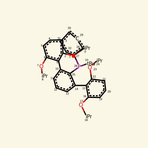 CC(C)Oc1cccc(OC(C)C)c1-c1cccc(-c2c(OC(C)C)cccc2OC(C)C)c1P(c1ccccc1)C(C)(C)C